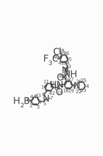 Bc1ccc(CN(C)Cc2cccc(C(=O)Nc3ccc(N4CCCCC4)cc3C(=O)N/N=C/c3ccc(Cl)c(C(F)(F)F)c3)c2)cc1